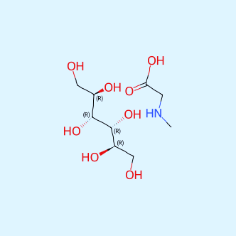 CNCC(=O)O.OC[C@@H](O)[C@@H](O)[C@H](O)[C@H](O)CO